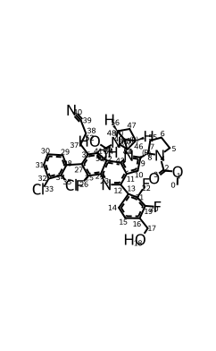 COC(=O)N1CCC[C@@H]1c1cc2c(-c3ccc(CO)c(F)c3F)nc3c(F)c(-c4cccc(Cl)c4Cl)c(CCC#N)cc3c2n1[C@H]1[C@@H]2C[C@H]1N(C(=O)O)C2